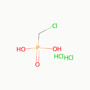 Cl.Cl.O=P(O)(O)CCl